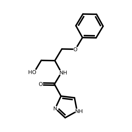 O=C(NC(CO)COc1ccccc1)c1c[nH]cn1